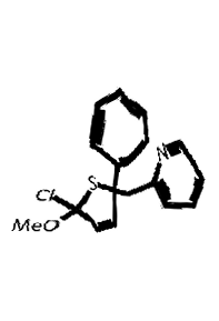 COC1(Cl)C=CC(c2ccccc2)(c2ccccn2)S1